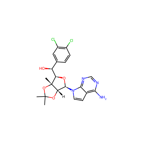 CC1(C)O[C@H]2[C@H](n3ccc4c(N)ncnc43)O[C@H]([C@@H](O)c3ccc(Cl)c(Cl)c3)[C@@]2(C)O1